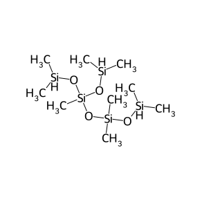 C[SiH](C)O[Si](C)(C)O[Si](C)(O[SiH](C)C)O[SiH](C)C